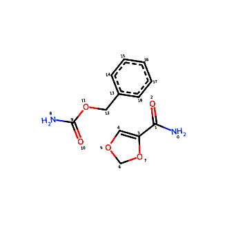 NC(=O)C1=COCO1.NC(=O)OCc1ccccc1